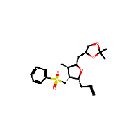 C=CC[C@@H]1O[C@H](CC2COC(C)(C)O2)[C@H](C)[C@H]1CS(=O)(=O)c1ccccc1